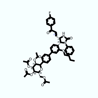 CCCCOc1cc(-c2ccc(C3O[C@H](COC(C)=O)[C@@H](OC(C)=O)[C@H](OC(C)=O)[C@H]3OC(C)=O)cc2)ccc1[C@@H]1[C@H](/C=C/C(=O)c2ccc(F)cc2)NC(=O)N1c1ccccc1